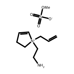 C=CC[N+]1(CCN)C=CCC1.COS(=O)(=O)[O-]